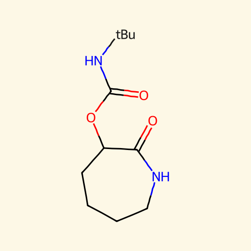 CC(C)(C)NC(=O)OC1CCCCNC1=O